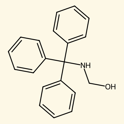 OCNC(c1ccccc1)(c1ccccc1)c1ccccc1